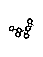 c1ccc(-c2ccc(-n3c4ccccc4c4cc5oc6ccccc6c5cc43)c3ccccc23)cc1